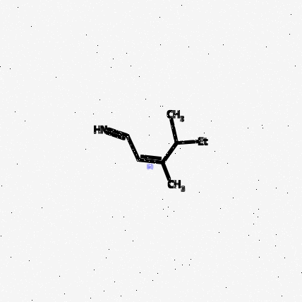 CCC(C)/C(C)=C\C=N